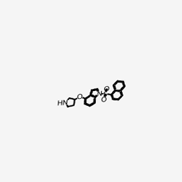 O=S(=O)(c1cccc2ccccc12)n1ccc2c(OC3CCNC3)cccc21